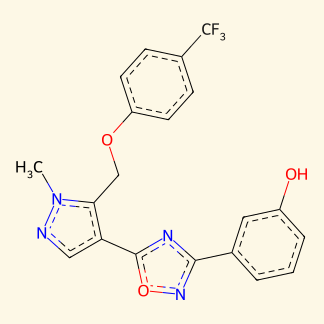 Cn1ncc(-c2nc(-c3cccc(O)c3)no2)c1COc1ccc(C(F)(F)F)cc1